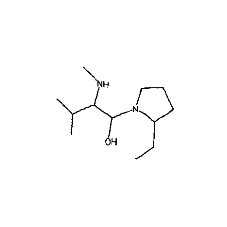 CCC1CCCN1C(O)C(NC)C(C)C